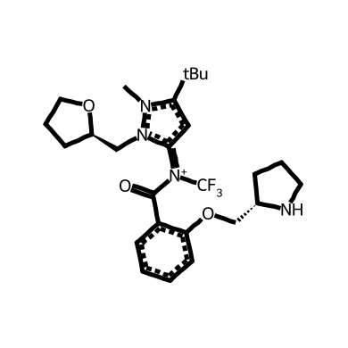 Cn1c(C(C)(C)C)c/c(=[N+](/C(=O)c2ccccc2OC[C@@H]2CCCN2)C(F)(F)F)n1C[C@H]1CCCO1